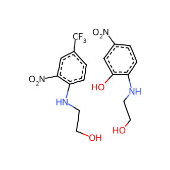 O=[N+]([O-])c1cc(C(F)(F)F)ccc1NCCO.O=[N+]([O-])c1ccc(NCCO)c(O)c1